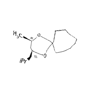 CC(C)[C@@H]1OC2(CCCCC2)O[C@@H]1C